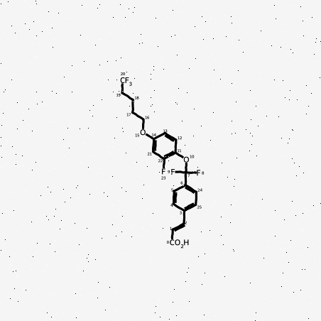 O=C(O)C=Cc1ccc(C(F)(F)Oc2ccc(OCCCCC(F)(F)F)cc2F)cc1